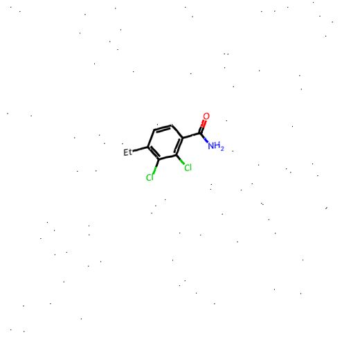 CCc1ccc(C(N)=O)c(Cl)c1Cl